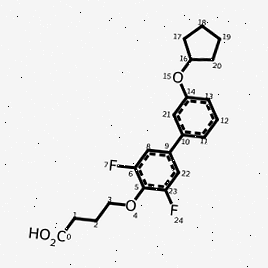 O=C(O)CCCOc1c(F)cc(-c2cccc(OC3CCCC3)c2)cc1F